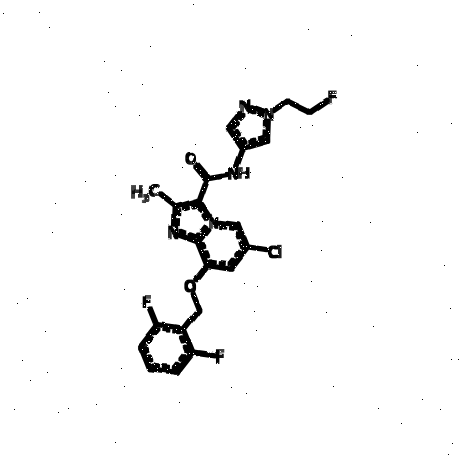 Cc1nc2c(OCc3c(F)cccc3F)cc(Cl)cn2c1C(=O)Nc1cnn(CCF)c1